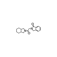 O=C(CN1Cc2ccccc2C1=O)N1CC2CCCCC2C1